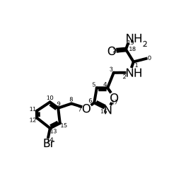 CC(NCc1cc(OCc2cccc(Br)c2)no1)C(N)=O